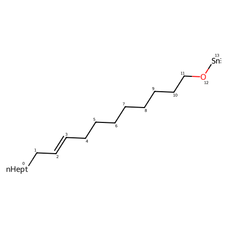 CCCCCCCCC=CCCCCCCCC[O][Sn]